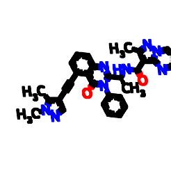 Cc1nn2cccnc2c1C(=O)N[C@@H](C)c1nc2cccc(C#Cc3cnn(C)c3C)c2c(=O)n1-c1ccccc1